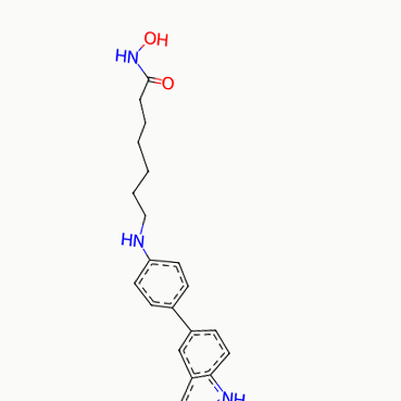 O=C(CCCCCCNc1ccc(-c2ccc3[nH]ccc3c2)cc1)NO